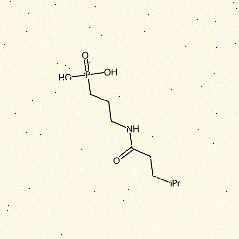 CC(C)CCC(=O)NCCCP(=O)(O)O